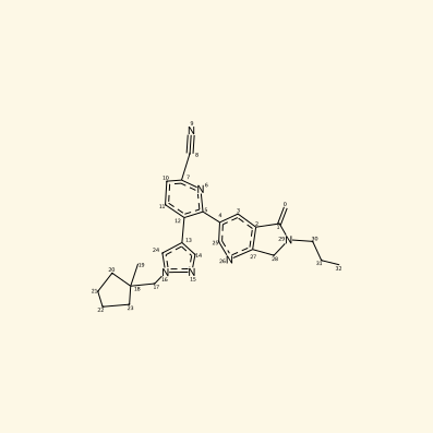 C=C1c2cc(-c3nc(C#N)ccc3-c3cnn(CC4(C)CCCC4)c3)cnc2CN1CCC